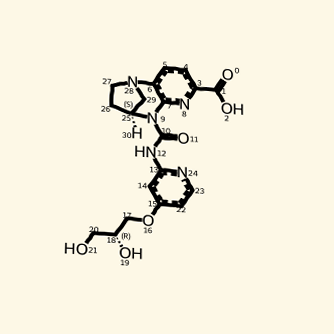 O=C(O)c1ccc2c(n1)N(C(=O)Nc1cc(OC[C@H](O)CO)ccn1)[C@H]1CCN2C1